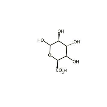 O=C(O)[C@H]1OC(O)[C@@H](O)[C@H](O)C1O